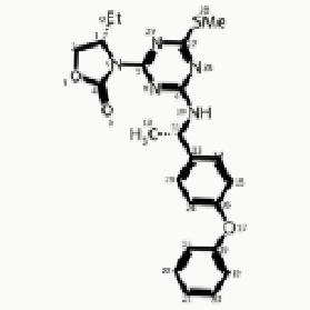 CC[C@H]1COC(=O)N1c1nc(N[C@@H](C)c2ccc(Oc3ccccc3)cc2)nc(SC)n1